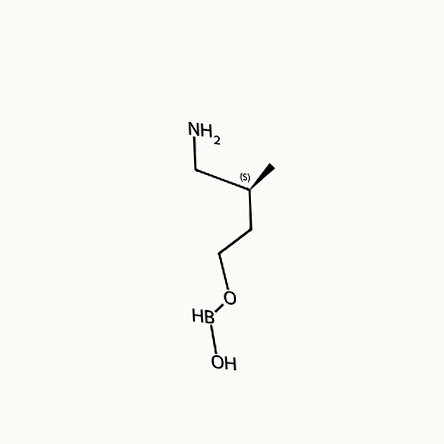 C[C@H](CN)CCOBO